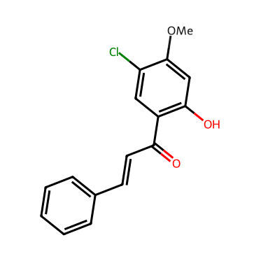 COc1cc(O)c(C(=O)/C=C/c2ccccc2)cc1Cl